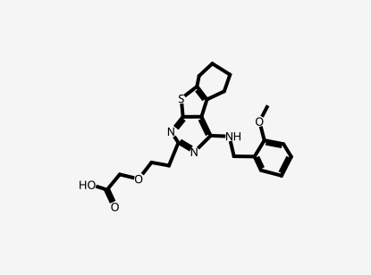 COc1ccccc1CNc1nc(CCOCC(=O)O)nc2sc3c(c12)CCCC3